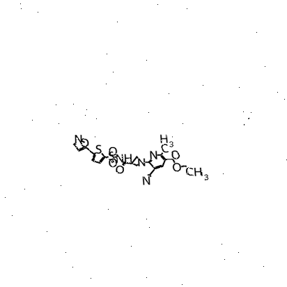 CCOC(=O)c1cc(C#N)c(N2CC(C(=O)NS(=O)(=O)c3ccc(-c4ccno4)s3)C2)nc1C